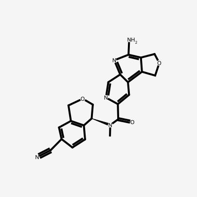 CN(C(=O)c1cc2c3c(c(N)nc2cn1)COC3)[C@@H]1COCc2cc(C#N)ccc21